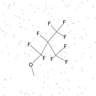 COC(F)(F)C(F)(C(F)(F)F)C(F)(F)F